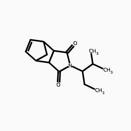 CCC(C(C)C)N1C(=O)C2C3C=CC(C3)C2C1=O